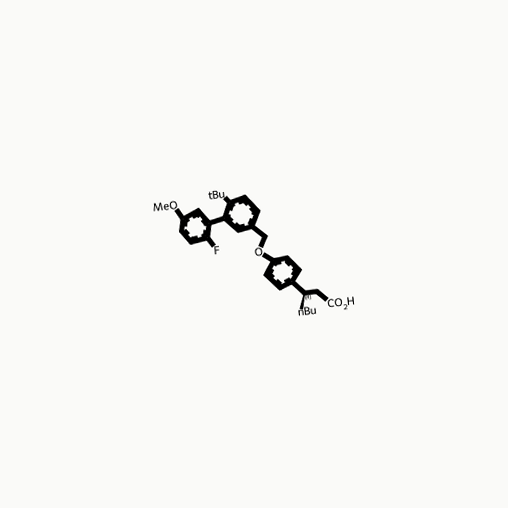 CCCC[C@H](CC(=O)O)c1ccc(OCc2ccc(C(C)(C)C)c(-c3cc(OC)ccc3F)c2)cc1